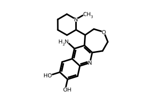 CN1CCCCC1C1COCCc2nc3cc(O)c(O)cc3c(N)c21